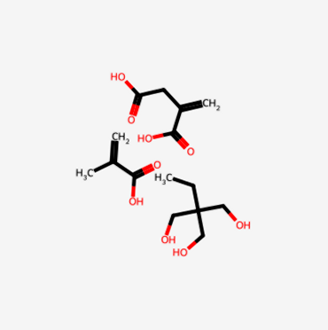 C=C(C)C(=O)O.C=C(CC(=O)O)C(=O)O.CCC(CO)(CO)CO